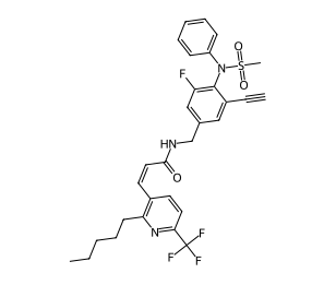 C#Cc1cc(CNC(=O)/C=C\c2ccc(C(F)(F)F)nc2CCCCC)cc(F)c1N(c1ccccc1)S(C)(=O)=O